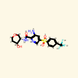 Nc1cc(S(=O)(=O)c2ccc(C(F)(F)F)cc2)cnc1C(=O)N[C@H]1COCC[C@H]1O